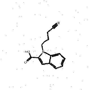 N#CCCCn1c(C(=O)O)cc2ccccc21